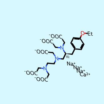 CCOc1ccc(C[C@@H](CN(CCN(CC(=O)[O-])CC(=O)[O-])CC(=O)[O-])N(CC(=O)[O-])CC(=O)[O-])cc1.[Ca+2].[Na+].[Na+].[Na+]